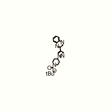 CC(C)(C)OC(=O)N1CCC(n2cc(-c3cnc4ccccc4n3)cn2)CC1